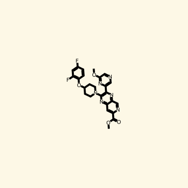 COC(=O)c1cc2nc(N3CCC(Oc4ccc(F)cc4F)CC3)c(-c3cncc(OC)n3)nc2cn1